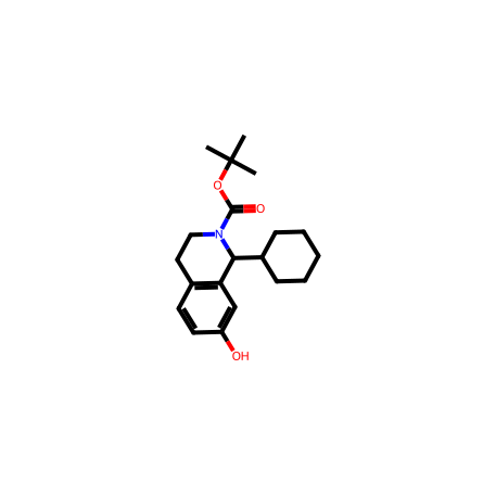 CC(C)(C)OC(=O)N1CCc2ccc(O)cc2C1C1CCCCC1